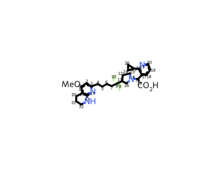 COc1cc(CCCCC(F)(F)C2CCN(C(C(=O)O)c3cccnc3C3CC3)C2)nc2c1CCCN2